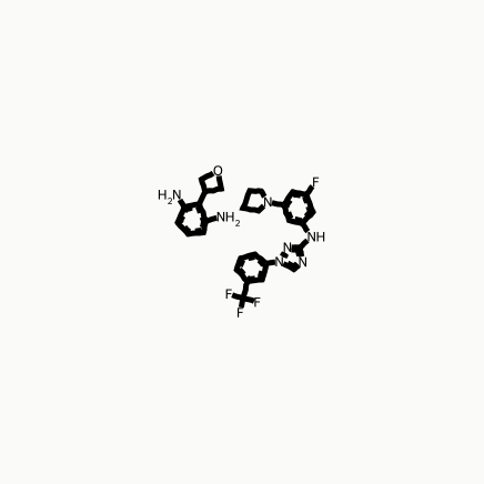 Fc1cc(Nc2ncn(-c3cccc(C(F)(F)F)c3)n2)cc(N2CCCC2)c1.Nc1cccc(N)c1C1COC1